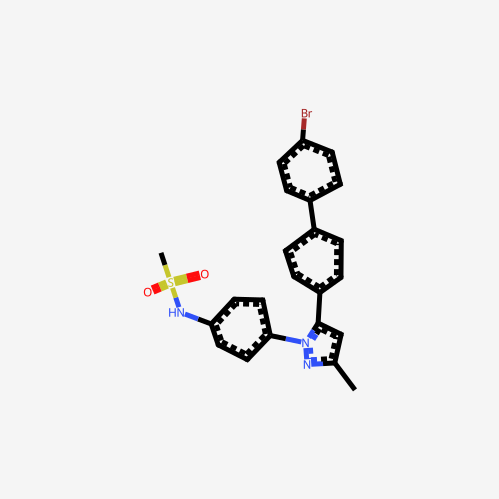 Cc1cc(-c2ccc(-c3ccc(Br)cc3)cc2)n(-c2ccc(NS(C)(=O)=O)cc2)n1